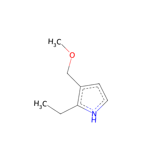 CCc1[nH]ccc1COC